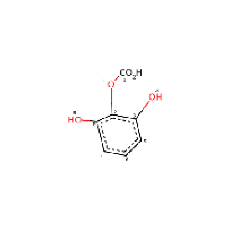 O=C(O)Oc1c(O)cccc1O